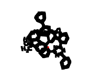 C=C/C=c1/oc2cccc(-c3nc(-c4ccccc4)nc(-c4ccccc4)n3)c2/c1=C/C(c1ccc(-c2ccccc2)cc1)c1cccc2c1-c1ccccc1C2(C)C